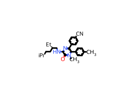 CC[C@H](CCC(C)C)CNc1nc(-c2ccc(C#N)cc2)c(-c2ccc(C)cc2)n(C)c1=O